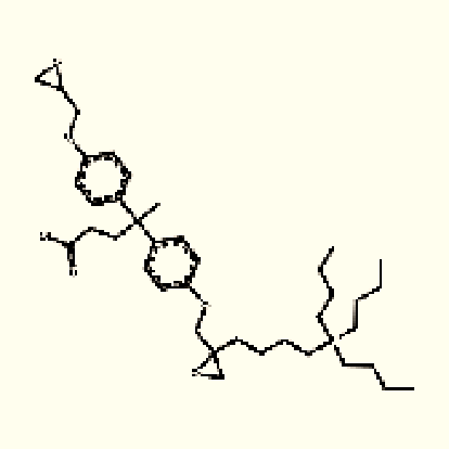 CCCC[P+](CCCC)(CCCC)CCCCC1(COc2ccc(C(C)(CCC(=O)[O-])c3ccc(OCC4CO4)cc3)cc2)CO1